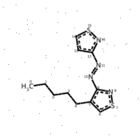 CCCCCc1csnc1N=Nc1ccsn1